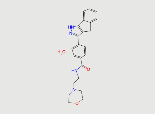 O.O=C(NCCN1CCOCC1)c1ccc(-c2n[nH]c3c2Cc2ccccc2-3)cc1